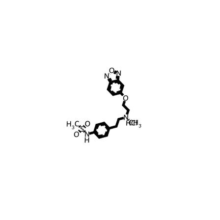 CN(CCOc1ccc2nonc2c1)CCc1ccc(NS(C)(=O)=O)cc1.Cl